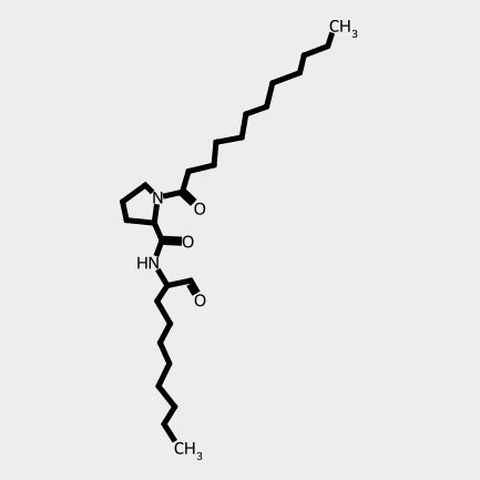 CCCCCCCCCCCC(=O)N1CCCC1C(=O)NC(C=O)CCCCCCCC